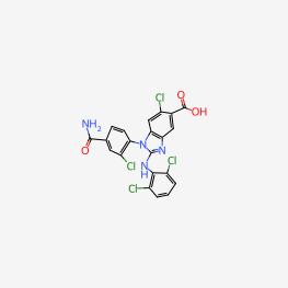 NC(=O)c1ccc(-n2c(Nc3c(Cl)cccc3Cl)nc3cc(C(=O)O)c(Cl)cc32)c(Cl)c1